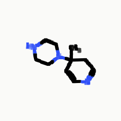 CC1(N2CCNCC2)C=CN=CC1